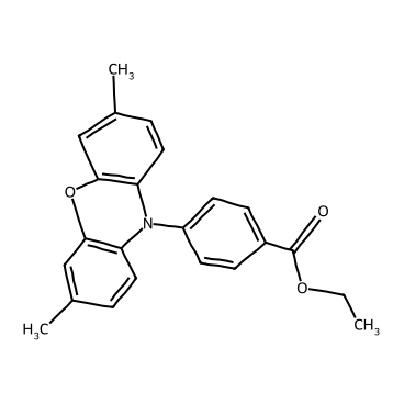 CCOC(=O)c1ccc(N2c3ccc(C)cc3Oc3cc(C)ccc32)cc1